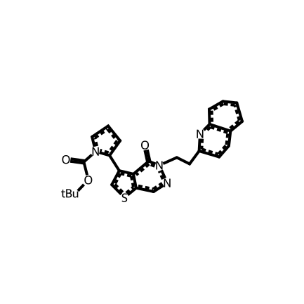 CC(C)(C)OC(=O)n1cccc1-c1csc2cnn(CCc3ccc4ccccc4n3)c(=O)c12